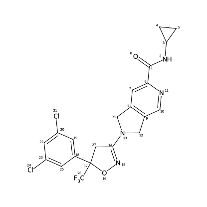 O=C(NC1CC1)c1cc2c(cn1)CN(C1=NOC(c3cc(Cl)cc(Cl)c3)(C(F)(F)F)C1)C2